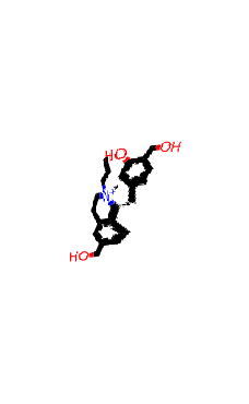 C=CC[N@+]1(C)CCc2cc(CO)ccc2[C@H]1Cc1ccc(CO)c(O)c1